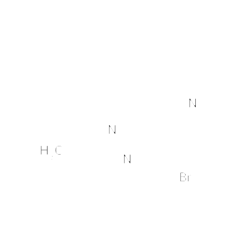 CCn1nc(Br)c2ncccc21